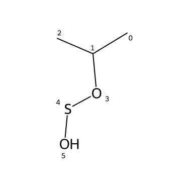 CC(C)OSO